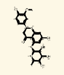 COc1cc([C@@H]2CC(=O)c3c(OC4OC(C)C(O)C(O)C4O)cc(O)cc3O2)ccc1O